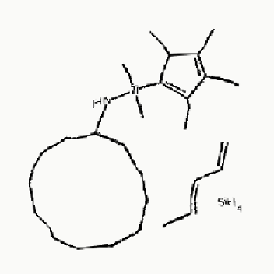 C=CC=CC.CC1=C(C)C(C)[C]([Ti]([CH3])([CH3])[NH]C2CCCCCCCCCCC2)=C1C.[SiH4]